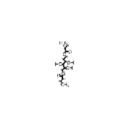 CCCC(=O)OCCC(O)C(O)C(O)COC(=O)CCC